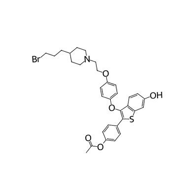 CC(=O)Oc1ccc(-c2sc3cc(O)ccc3c2Oc2ccc(OCCN3CCC(CCCBr)CC3)cc2)cc1